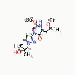 CCO[C@H](C)C[C@H](NC(=O)OC(C)(C)C)C(=O)Nc1ccn(CC(C)(C)O)n1